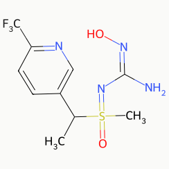 CC(c1ccc(C(F)(F)F)nc1)S(C)(=O)=N/C(N)=N\O